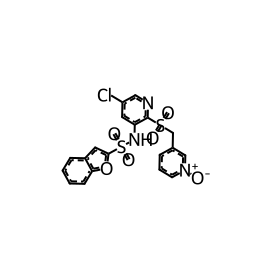 O=S(=O)(Cc1ccc[n+]([O-])c1)c1ncc(Cl)cc1NS(=O)(=O)c1cc2ccccc2o1